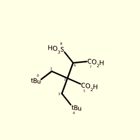 CC(C)(C)CC(CC(C)(C)C)(C(=O)O)C(C(=O)O)S(=O)(=O)O